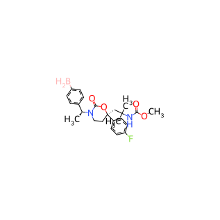 Bc1ccc([C@H](C)N2CC[C@](CC(C)(C)NC(=O)OC)(c3ccc(F)cc3)OC2=O)cc1